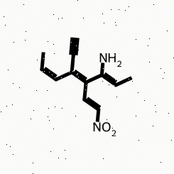 C#CC(/C=C\C)=C(/C=C/[N+](=O)[O-])C(\N)=C\C